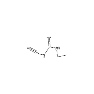 CCNC(=N)NC#N